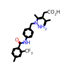 C=C(C)/C(CC(=O)O)=C(/C)N(N)Cc1ccc(NC(=O)c2ccc(C)cc2C(F)(F)F)cc1